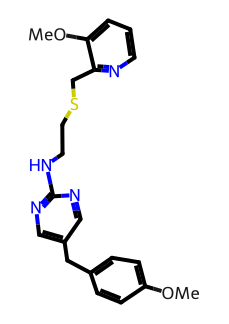 COc1ccc(Cc2cnc(NCCSCc3ncccc3OC)nc2)cc1